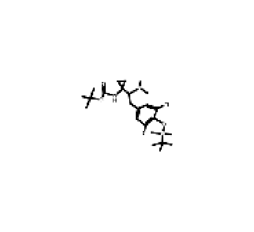 CN(C)C(Cc1cc(Cl)c(O[Si](C)(C)C(C)(C)C)c(Cl)c1)C1(NC(=O)OC(C)(C)C)CC1